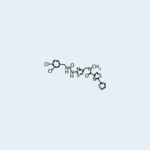 CN(Cc1csc(NC(=O)NCc2ccc(Cl)c(Cl)c2)n1)C(=O)c1csc(-c2cccs2)n1